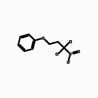 O=[N+]([O-])C(Cl)(Cl)CCOc1ccccc1